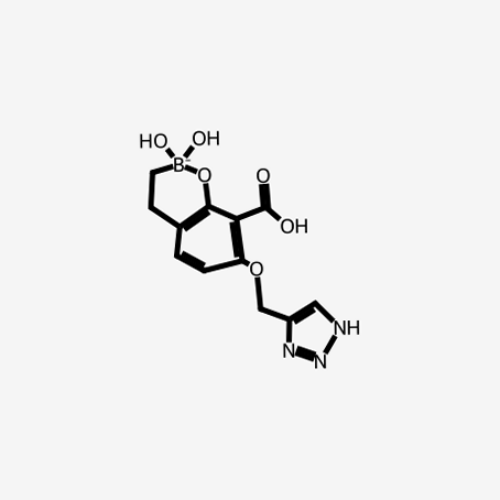 O=C(O)c1c(OCc2c[nH]nn2)ccc2c1O[B-](O)(O)CC2